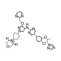 CC(Cn1cncn1)Oc1cc(-c2cnc(Nc3cn(C4CCC(N5[C@@H]6CC[C@H]5COC6)CC4)nc3OCc3ncccn3)nc2)ccc1Cl